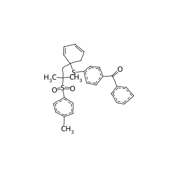 Cc1ccc(S(=O)(=O)C(C)(C)CC2(Sc3ccc(C(=O)c4ccccc4)cc3)C=CC=CC2)cc1